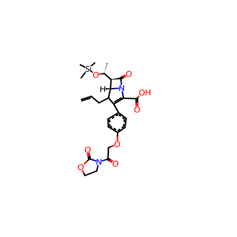 C=CCC1C(c2ccc(OCC(=O)N3CCOC3=O)cc2)=C(C(=O)O)N2C(=O)[C@H]([C@@H](C)O[Si](C)(C)C)[C@@H]12